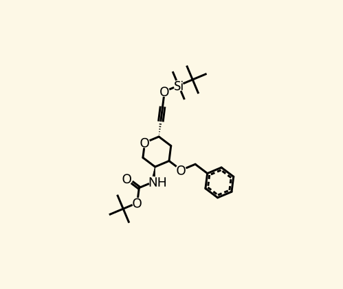 CC(C)(C)OC(=O)N[C@H]1CO[C@H](C#CO[Si](C)(C)C(C)(C)C)CC1OCc1ccccc1